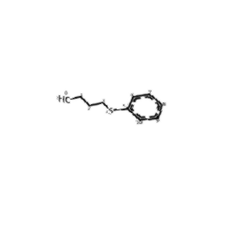 [CH]CCCSc1ccccc1